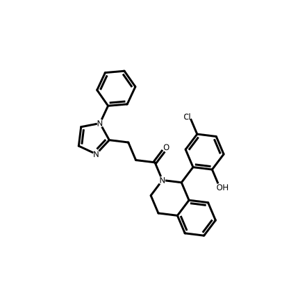 O=C(CCc1nccn1-c1ccccc1)N1CCc2ccccc2C1c1cc(Cl)ccc1O